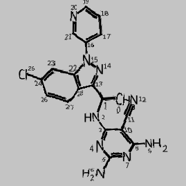 CC(Nc1nc(N)nc(N)c1C#N)c1nn(-c2cccnc2)c2cc(Cl)ccc12